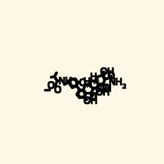 CCOC(=O)C(NCc1ccc(OC)c(-c2ccc(O)c3c2C[C@H]2C[C@H]4CC(O)=C(C(N)=O)C(=O)[C@@]4(O)C(O)=C2C3=O)c1)C(C)C